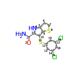 NC(=O)c1[nH]c2ccsc2c1Sc1cc(Cl)cc(Cl)c1